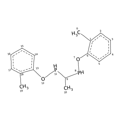 Cc1ccccc1OPC(C)POc1ccccc1C